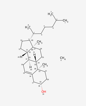 C.CC(C)CCCC(C)[C@H]1CC[C@H]2[C@@H]3CC=C4C[C@@H](O)CC[C@]4(C)[C@H]3CC[C@]12C